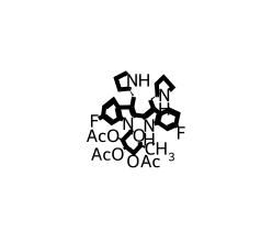 CC(=O)O[C@@H]1[C@H](OC(C)=O)[C@H](C)O[C@H](n2c(-c3[nH]c4cc(F)ccc4c3C[C@@H]3CCCN3)c(C[C@@H]3CCCN3)c3ccc(F)cc32)[C@H]1OC(C)=O